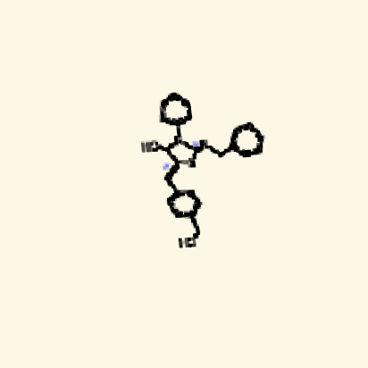 OCc1ccc(/C=C2\S/C(=N\Cc3ccccc3)N(c3ccccc3)C2O)cc1